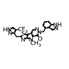 Cn1c2nc(Cc3n[nH]cc3C(F)(F)F)sc2c2cnn(Cc3cccc4[nH]ncc34)c(=O)c21